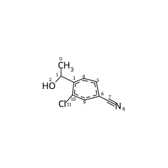 CC(O)c1ccc(C#N)cc1Cl